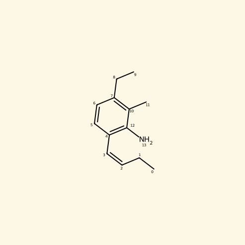 CC/C=C\c1ccc(CC)c(C)c1N